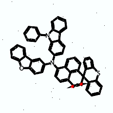 c1ccc(-n2c3ccccc3c3ccc(N(c4ccc5oc6ccccc6c5c4)c4ccc5c6c(cccc46)C4(c6ccccc6Sc6ccccc64)c4ccccc4-5)cc32)cc1